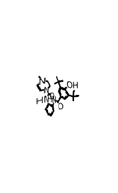 CN1CCN(C(=O)Nc2ccccc2NC(=O)c2cc(C(C)(C)C)c(O)c(C(C)(C)C)c2)CC1